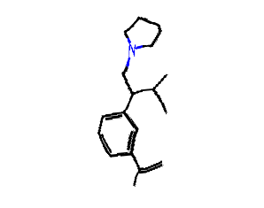 C=C(C)c1cccc(C(CN2CCCC2)C(C)C)c1